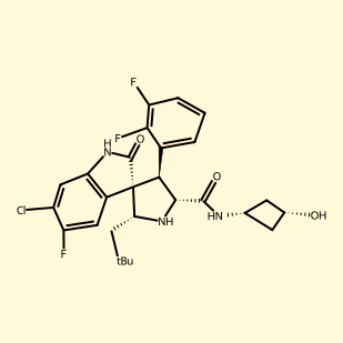 CC(C)(C)C[C@H]1N[C@@H](C(=O)N[C@H]2C[C@@H](O)C2)[C@H](c2cccc(F)c2F)[C@@]12C(=O)Nc1cc(Cl)c(F)cc12